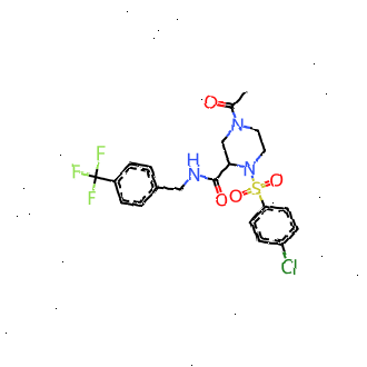 CC(=O)N1CCN(S(=O)(=O)c2ccc(Cl)cc2)C(C(=O)NCc2ccc(C(F)(F)F)cc2)C1